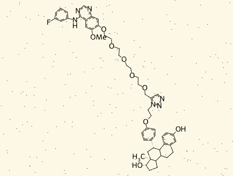 COc1cc2c(Nc3cccc(F)c3)ncnc2cc1OCCOCCOCCOCCOCc1cnnn1CCOc1ccc([C@H]2C[C@@]3(C)C(CC[C@@H]3O)C3CCc4cc(O)ccc4C32)cc1